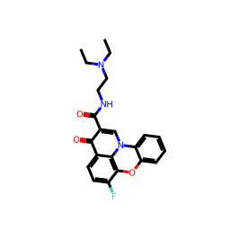 CCN(CC)CCNC(=O)c1cn2c3c(c(F)ccc3c1=O)Oc1ccccc1-2